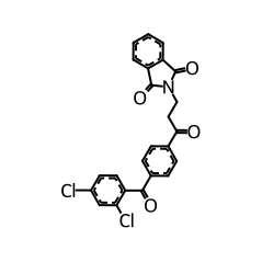 O=C(CCN1C(=O)c2ccccc2C1=O)c1ccc(C(=O)c2ccc(Cl)cc2Cl)cc1